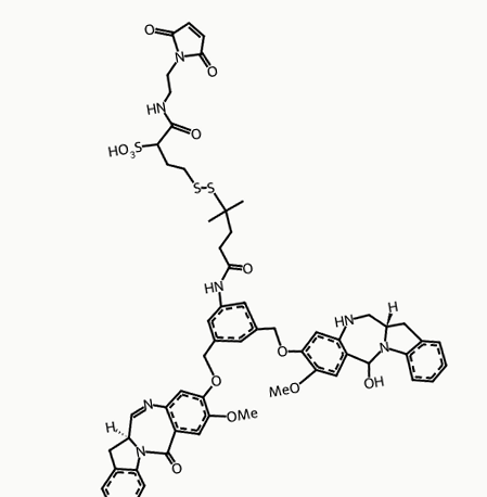 COc1cc2c(cc1OCc1cc(COc3cc4c(cc3OC)C(O)N3c5ccccc5C[C@H]3CN4)cc(NC(=O)CCC(C)(C)SSCCC(C(=O)NCCN3C(=O)C=CC3=O)S(=O)(=O)O)c1)N=C[C@@H]1Cc3ccccc3N1C2=O